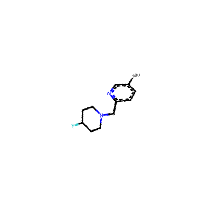 CC(C)(C)c1ccc(CN2CCC(F)CC2)nc1